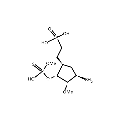 B[C@@H]1C[C@H](CCP(=O)(O)O)[C@@H](OP(O)(=S)OC)[C@H]1OC